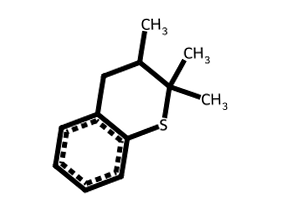 CC1Cc2ccccc2SC1(C)C